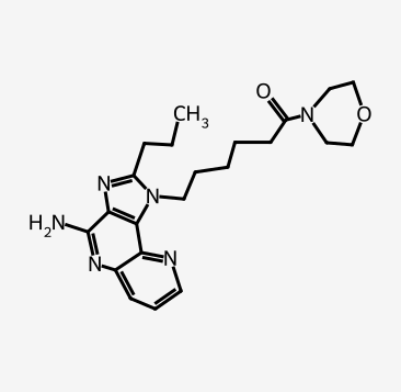 CCCc1nc2c(N)nc3cccnc3c2n1CCCCCC(=O)N1CCOCC1